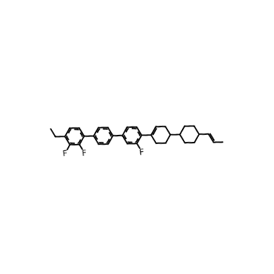 C/C=C/C1CCC(C2CC=C(c3ccc(-c4ccc(-c5ccc(CC)c(F)c5F)cc4)cc3F)CC2)CC1